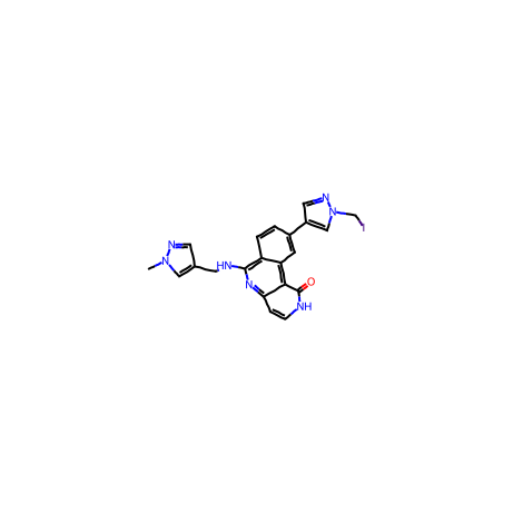 Cn1cc(CNc2nc3cc[nH]c(=O)c3c3cc(-c4cnn(CI)c4)ccc23)cn1